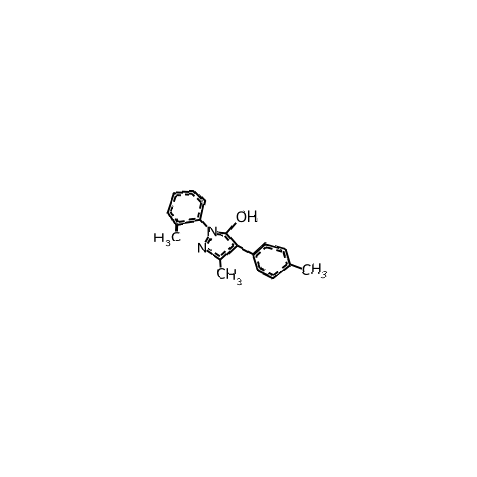 Cc1ccc(-c2c(C)nn(-c3ccccc3C)c2O)cc1